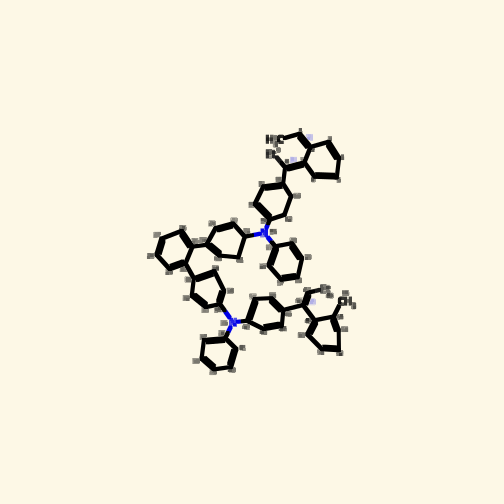 C/C=c1/cccc/c1=C(/CC)C1=CC=C(N(c2ccccc2)C2C=CC(c3ccccc3-c3ccc(N(c4ccccc4)c4ccc(/C(=C/CC)c5ccccc5C)cc4)cc3)=CC2)CC1